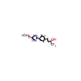 CCCCCCCCCCOc1cnc(-c2ccc(C=CC(O)C(F)(F)F)cc2)nc1